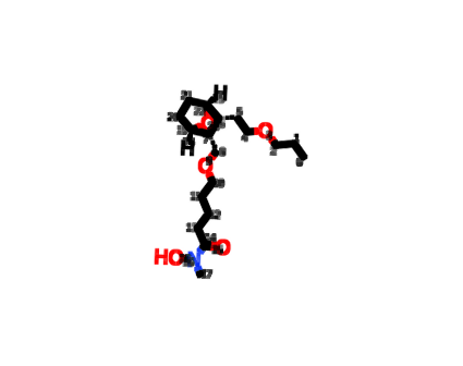 CCCOCC[C@@H]1[C@H](COCCCCC(=O)N(C)O)[C@@H]2CC[C@H]1O2